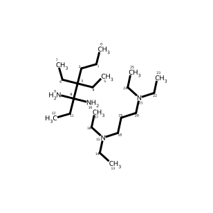 CCCC(CC)(CC)C(N)(N)CC.CCN(CC)CCCN(CC)CC